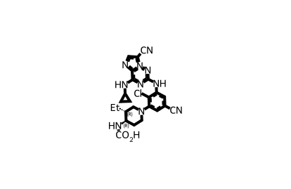 CC[C@@H]1CN(c2cc(C#N)cc(Nc3nc(NC4CC4)c4ncc(C#N)n4n3)c2Cl)CC[C@H]1NC(=O)O